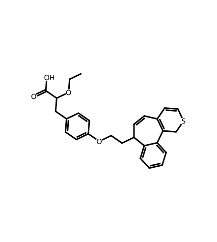 CCOC(Cc1ccc(OCCC2C=CC3=C(CSC=C3)c3ccccc32)cc1)C(=O)O